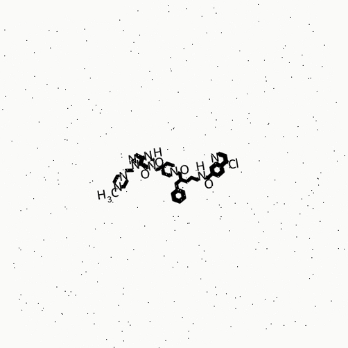 CN1CCN(CCn2ncc3ncn(CC4(O)CCN(C(=O)C(CCCNC(=O)c5ccc6c(Cl)ccnc6c5)Cc5ccccc5)CC4)c(=O)c32)CC1